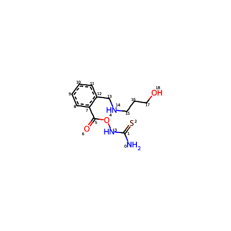 NC(=S)NOC(=O)c1ccccc1CNCCCO